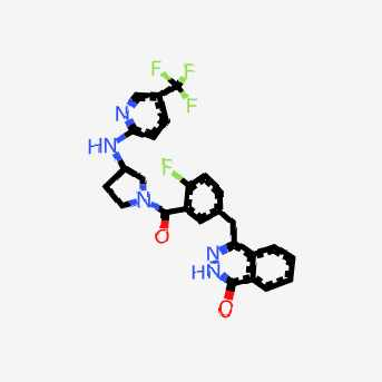 O=C(c1cc(Cc2n[nH]c(=O)c3ccccc23)ccc1F)N1CCC(Nc2ccc(C(F)(F)F)cn2)C1